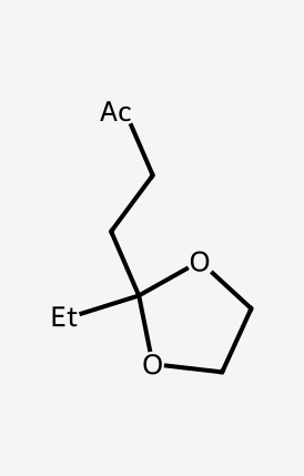 CCC1(CCC(C)=O)OCCO1